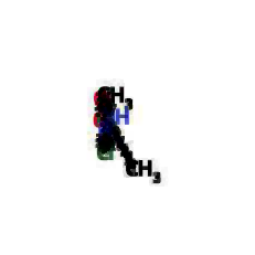 CCCCCCCCCCC1CN(C(=O)Nc2ccc(OC)cc2)N=C1c1ccc(Cl)cc1